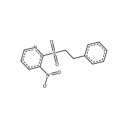 O=[N+]([O-])c1cccnc1S(=O)(=O)CCc1ccccc1